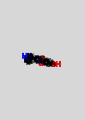 CC(C)(O)c1ccc(S(=O)(=O)N2CCC(c3c[nH]c4ncccc34)CC2)cc1